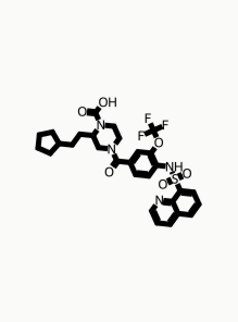 O=C(c1ccc(NS(=O)(=O)c2cccc3cccnc23)c(OC(F)(F)F)c1)N1CCN(C(=O)O)C(CCC2CCCC2)C1